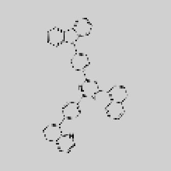 C1=CC2=C(c3cc(C4=CC=C(n5c6ccccc6c6ccccc65)CC4)nc(-c4ccc(C5=CCCc6cccnc65)cc4)n3)C=CCC2C=C1